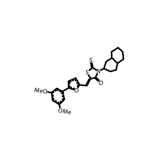 COc1cc(OC)cc(-c2ccc(/C=C3\SC(=S)N(C4CCC5CCCCC5C4)C3=O)o2)c1